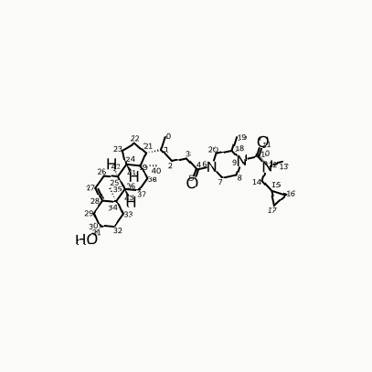 CC(CCC(=O)N1CCN(C(=O)N(C)CC2CC2)C(C)C1)[C@H]1CC[C@H]2[C@@H]3CC=C4C[C@@H](O)CC[C@]4(C)[C@H]3CC[C@]12C